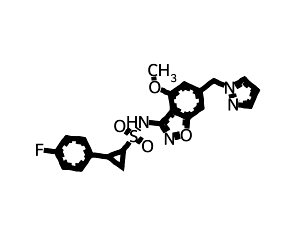 COc1cc(Cn2cccn2)cc2onc(NS(=O)(=O)C3CC3c3ccc(F)cc3)c12